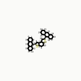 c1ccc2c(-c3cc4c(ccc5sc(-c6c7ccccc7cc7ccccc67)cc54)s3)c3ccccc3cc2c1